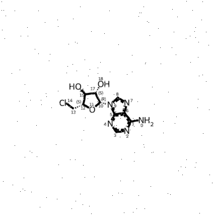 Nc1ncnc2c1ncn2[C@@H]1O[C@H](CCl)C(O)[C@@H]1O